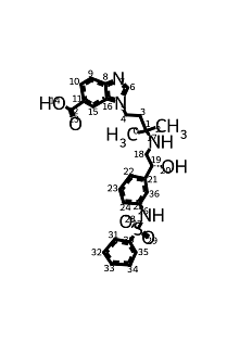 CC(C)(CCn1cnc2ccc(C(=O)O)cc21)NC[C@H](O)c1cccc(NS(=O)(=O)c2ccccc2)c1